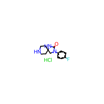 Cl.O=C1NC2(CCNCC2)CN1c1ccc(F)cc1